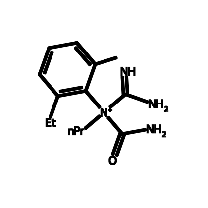 CCC[N+](C(=N)N)(C(N)=O)c1c(C)cccc1CC